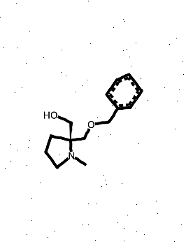 CN1CCC[C@]1(CO)COCc1ccccc1